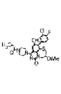 C=CC(=O)N1CCN(c2nc(=O)n3c4c(c(-c5ccc(F)c(Cl)c5)c(C)cc24)SCC(OC)C3)CC1